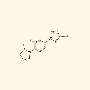 CC1CCCN1c1ccc(-c2nnc(N)s2)cc1F